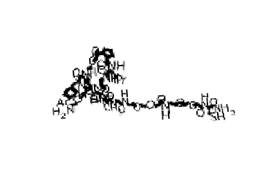 CSC[C@H](NC(=O)CNC(=O)[C@H](CC(C)C)NC(=O)C1CCCC1C(=O)COCCNC(=O)[C@H](Cc1ccc(C(C)=O)cc1)NC(=O)COCCOCCN)C(=O)N[C@@H](C)C(=O)NCC(=O)NCCOCCOCC(=O)NCCOCCOCC(=O)N[C@H](CS)C(N)=O